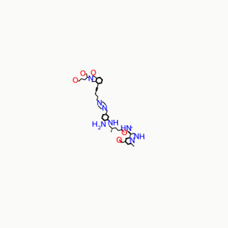 CN/C(OCCC[C@@H](C)CNc1cc(CN2CCN(CCCC#Cc3cccc4c3CN(C(C=O)CCC=O)C4=O)CC2)ccc1N)=C(\C=N)c1cc(C=O)cc(C)n1